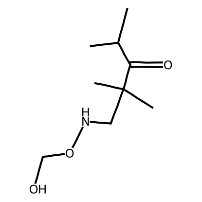 CC(C)C(=O)C(C)(C)CNOCO